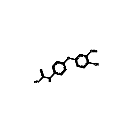 CCCC(=O)Nc1ccc(Oc2ccc(C#N)c(OC)c2)cc1